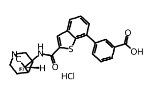 Cl.O=C(O)c1cccc(-c2cccc3cc(C(=O)N[C@H]4CN5CCC4CC5)sc23)c1